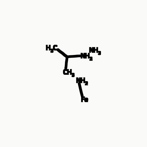 CC(C)N.N.[NH2][Fe]